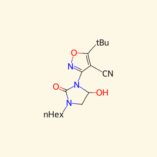 CCCCCCN1CC(O)N(c2noc(C(C)(C)C)c2C#N)C1=O